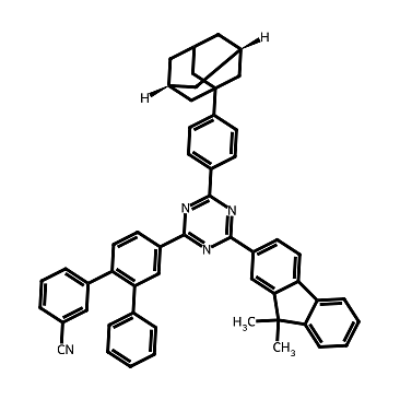 CC1(C)c2ccccc2-c2ccc(-c3nc(-c4ccc(C56CC7C[C@H](C5)C[C@@H](C7)C6)cc4)nc(-c4ccc(-c5cccc(C#N)c5)c(-c5ccccc5)c4)n3)cc21